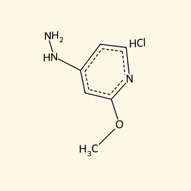 COc1cc(NN)ccn1.Cl